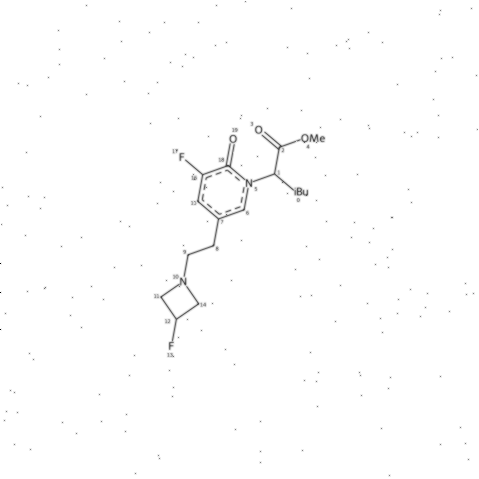 CCC(C)C(C(=O)OC)n1cc(CCN2CC(F)C2)cc(F)c1=O